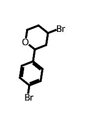 Brc1ccc(C2CC(Br)CCO2)cc1